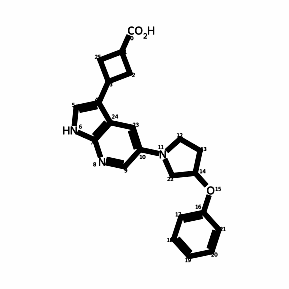 O=C(O)C1CC(c2c[nH]c3ncc(N4CCC(Oc5ccccc5)C4)cc23)C1